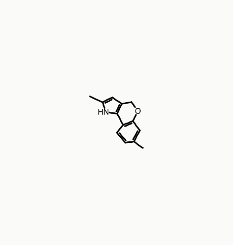 Cc1ccc2c(c1)OCc1cc(C)[nH]c1-2